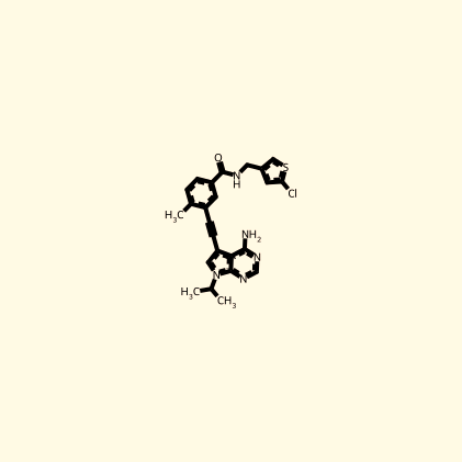 Cc1ccc(C(=O)NCc2csc(Cl)c2)cc1C#Cc1cn(C(C)C)c2ncnc(N)c12